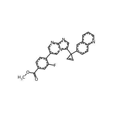 COC(=O)c1ccc(-c2cnc3ncc(C4(c5ccc6ncccc6c5)C=C4)n3c2)c(F)c1